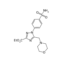 CCOC(=O)c1nc(CN2CCOCC2)n(-c2ccc(S(N)(=O)=O)cc2)n1